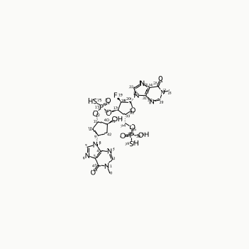 Cn1cnc2c(ncn2[C@@H]2C[C@H](OP(=O)(S)O[C@H]3[C@@H](F)[C@H](n4cnc5c(=O)n(C)cnc54)O[C@@H]3COP(=O)(O)S)[C@@H](O)C2)c1=O